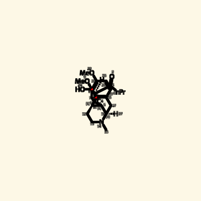 CCCC(=O)[C@H]1C[C@@]23CC[C@@]1(OC)C[C@@]21CCN(C)[C@@H]3Cc2ccc(OC)c(O)c21